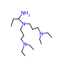 CCC(N)N(CCCN(CC)CC)CCCN(CC)CC